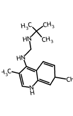 CC1=CNC2=CC(C)C=CC2=C1NCNC(C)(C)C